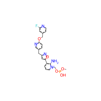 COP(O)OC[n+]1cccc(-c2cc(Cc3ccc(OCc4ccnc(F)c4)nc3)no2)c1N